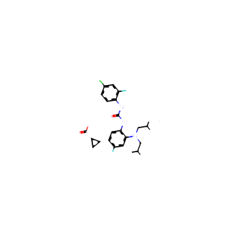 CC(C)CN(CC(C)C)c1cc(F)c([C@@H]2C[C@@H]2C(=O)O)cc1NC(=O)Nc1ccc(Cl)cc1F